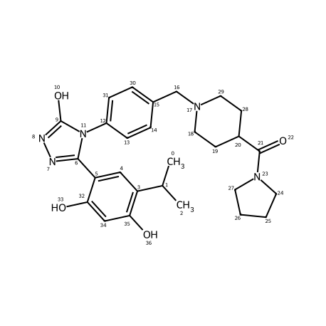 CC(C)c1cc(-c2nnc(O)n2-c2ccc(CN3CCC(C(=O)N4CCCC4)CC3)cc2)c(O)cc1O